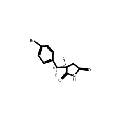 C[C@H](c1ccc(Br)cc1)[C@@]1(C)CC(=O)NC1=O